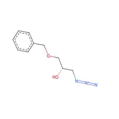 [N-]=[N+]=NC[C@H](O)COCc1ccccc1